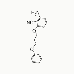 N#Cc1c(N)cccc1OCCCOc1ccccc1